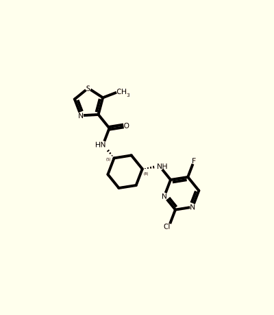 Cc1scnc1C(=O)N[C@H]1CCC[C@@H](Nc2nc(Cl)ncc2F)C1